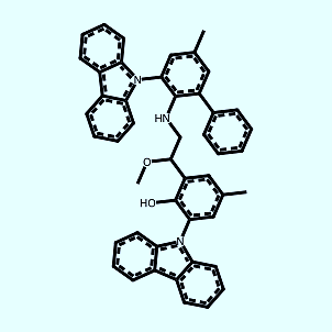 COC(CNc1c(-c2ccccc2)cc(C)cc1-n1c2ccccc2c2ccccc21)c1cc(C)cc(-n2c3ccccc3c3ccccc32)c1O